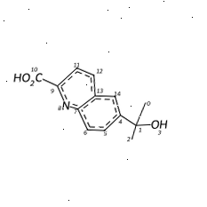 CC(C)(O)c1ccc2nc(C(=O)O)ccc2c1